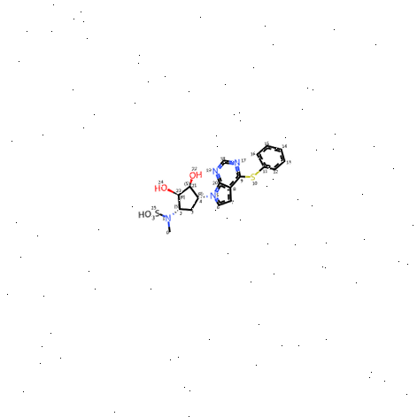 CN([C@H]1C[C@@H](n2ccc3c(Sc4ccccc4)ncnc32)[C@H](O)[C@@H]1O)S(=O)(=O)O